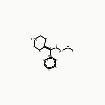 COOSC(=C1CCNCC1)c1ccccc1